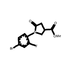 COC(=O)C1CC(=O)N(c2ccc(Br)cc2F)C1